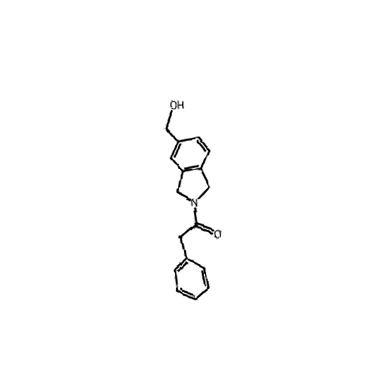 O=C(Cc1ccccc1)N1Cc2ccc(CO)cc2C1